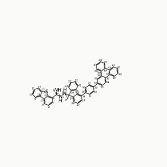 CC(NNC(=N)c1cccc2c1sc1ccccc12)(c1ccccc1)c1cccc(-c2ccc(-c3ccc4c5ccccc5c5ccccc5c4c3)cc2)c1